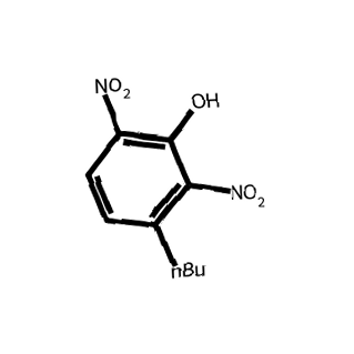 CCCCc1ccc([N+](=O)[O-])c(O)c1[N+](=O)[O-]